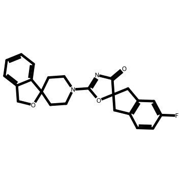 O=C1N=C(N2CCC3(CC2)OCc2ccccc23)OC12Cc1ccc(F)cc1C2